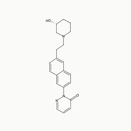 O=c1cccnn1-c1ccc2cc(CCN3CCC[C@@H](O)C3)ccc2c1